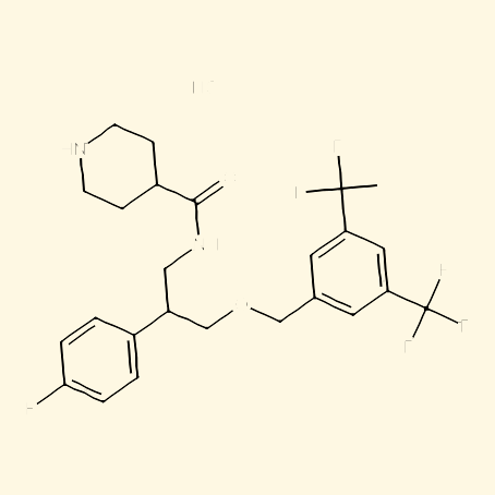 Cl.O=C(NCC(COCc1cc(C(F)(F)F)cc(C(F)(F)F)c1)c1ccc(F)cc1)C1CCNCC1